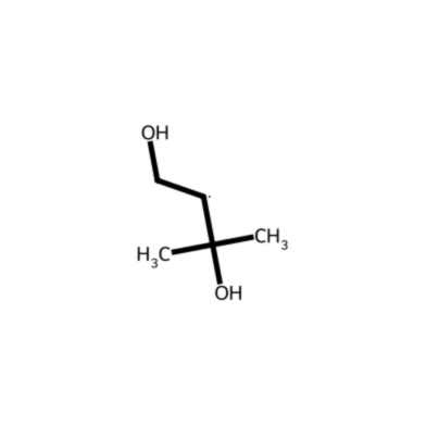 CC(C)(O)[CH]CO